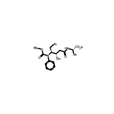 CC(C)C[C@@H]([C@@H](O)CC(=O)N[C@H](C(=O)O)C(C)C)N(C(=O)OC(C)(C)C)c1ccccc1